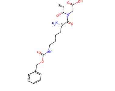 C=CC(=O)N(CC(=O)O)C(=O)[C@@H](N)CCCCNC(=O)OCc1ccccc1